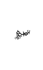 CC1=CC2=CC(c3sc4ccc(C(F)(F)F)cc4c3C)=NC3=C(NC(=O)C(C)O3)C2=CC1